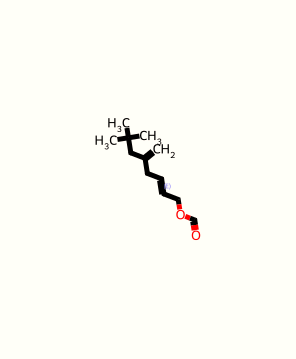 C=C(C/C=C/COC=O)CC(C)(C)C